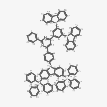 c1ccc(-c2nc(-c3ccc(-n4c5ccc([Si](c6ccccc6)(c6ccccc6)c6ccccc6)cc5c5cc([Si](c6ccccc6)(c6ccccc6)c6ccccc6)ccc54)cc3)cc(-c3cc(-n4c5ccccc5c5ccccc54)cc(-n4c5ccccc5c5ccccc54)c3)n2)cc1